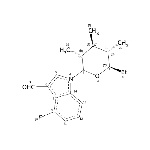 CC[C@H]1OC(n2cc(C=O)c3c(F)cccc32)[C@H](C)[C@@H](C)[C@@H]1C